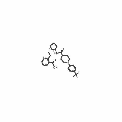 O=C(O)c1cccnc1CC[C@@H]1CCC[C@@H]1NC(=O)C1CCN(c2ccc(C(F)(F)F)cc2)CC1